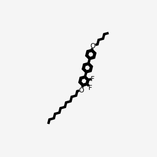 CCCCCCCCCCCCOc1ccc(-c2ccc(-c3ccc(OCCCCC)cc3)cc2)c(F)c1F